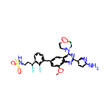 COc1cc(-c2cccc(C(F)CCN[SH](=O)=O)c2F)cc2c(N3CCOCC3)nc(-c3ccc(N)nc3)nc12